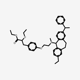 CCOC(=O)C(Cc1ccc(OCCN(C)C2c3ccc(CC)cc3CCc3cc(C(C)c4ccccc4)ccc32)cc1)OCC